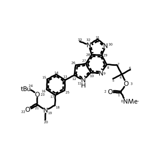 C[N]C(=O)OC(C)(C)Cc1nc2[nH]c(-c3cccc(CN(C)C(=O)OC(C)(C)C)c3)cc2c2c1ncn2C